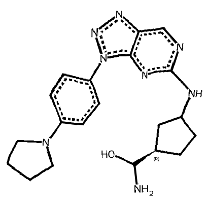 NC(O)[C@@H]1CCC(Nc2ncc3nnn(-c4ccc(N5CCCC5)cc4)c3n2)C1